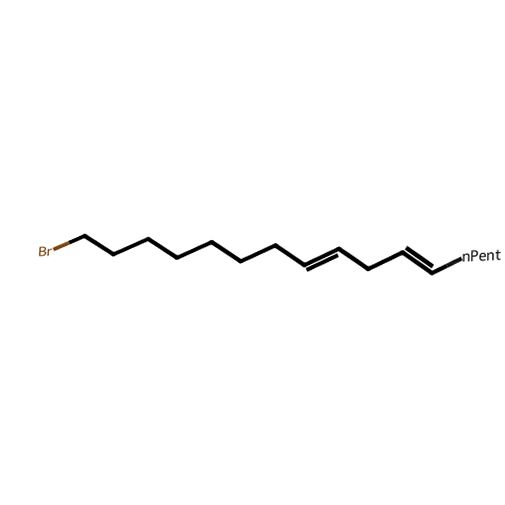 CCCCCC=CCC=CCCCCCCCBr